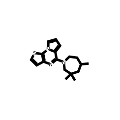 CC1CCN(c2nc3ccsc3n3cccc23)CC(C)(C)C1